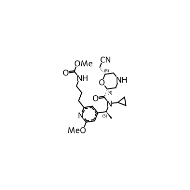 COC(=O)NCCCc1cc([C@H](C)N(C(=O)[C@H]2CNC[C@@H](CC#N)O2)C2CC2)cc(OC)n1